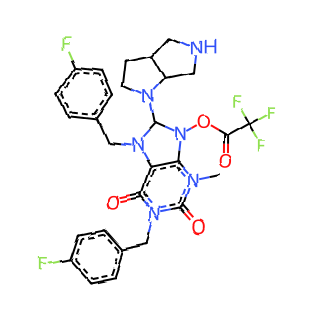 Cn1c2c(c(=O)n(Cc3ccc(F)cc3)c1=O)N(Cc1ccc(F)cc1)C(N1CCC3CNCC31)N2OC(=O)C(F)(F)F